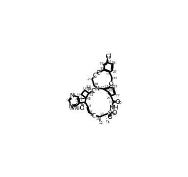 CO[C@@]1(c2cncnc2)/C=C/C[C@H](C)[C@@H](C)S(=O)(=O)NC(=O)c2ccc3c(c2)N(CCCCc2cc(Cl)ccc2CO3)C[C@@H]2CC[C@H]21